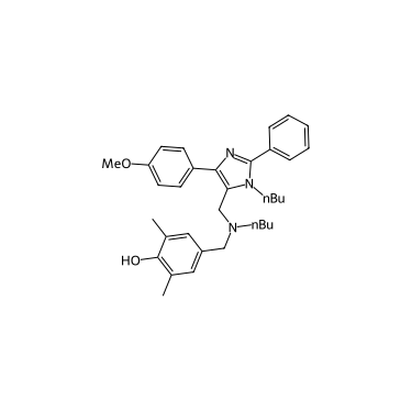 CCCCN(Cc1cc(C)c(O)c(C)c1)Cc1c(-c2ccc(OC)cc2)nc(-c2ccccc2)n1CCCC